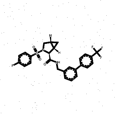 O=C(NCc1cccc(-c2ccc(C(F)(F)F)cc2)c1)[C@@H]1[C@H]2C[C@H]2CN1S(=O)(=O)c1ccc(F)cc1